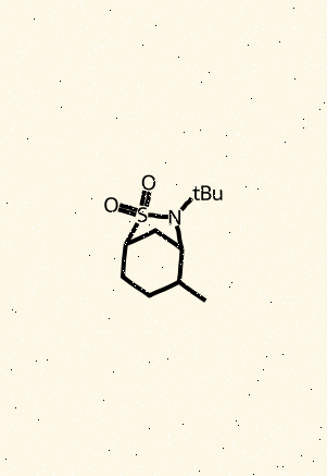 CC1CCC2CC1N(C(C)(C)C)S2(=O)=O